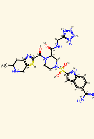 CC1Cc2nc(C(=O)N3CCN(S(=O)(=O)c4cc5cc(C(=N)N)ccc5[nH]4)CC3C(=O)NCc3nnn[nH]3)sc2CN1